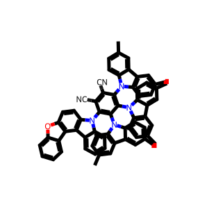 Cc1ccc2c(c1)c1cc(C)ccc1n2-c1c(C#N)c(C#N)c(-n2c3ccccc3c3c4c(ccc32)oc2ccccc24)c(-n2c3ccc(C)cc3c3cc(C)ccc32)c1-n1c2ccc(C)cc2c2cc(C)ccc21